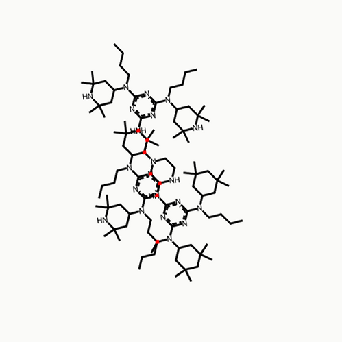 CCCCN(c1nc(NCCN(CCNc2nc(N(CCCC)C3CC(C)(C)NC(C)(C)C3)nc(N(CCCC)C3CC(C)(C)NC(C)(C)C3)n2)CCNc2nc(N(CCCC)C3CC(C)(C)NC(C)(C)C3)nc(N(CCCC)C3CC(C)(C)NC(C)(C)C3)n2)nc(N(CCCC)C2CC(C)(C)CC(C)(C)C2)n1)C1CC(C)(C)CC(C)(C)C1